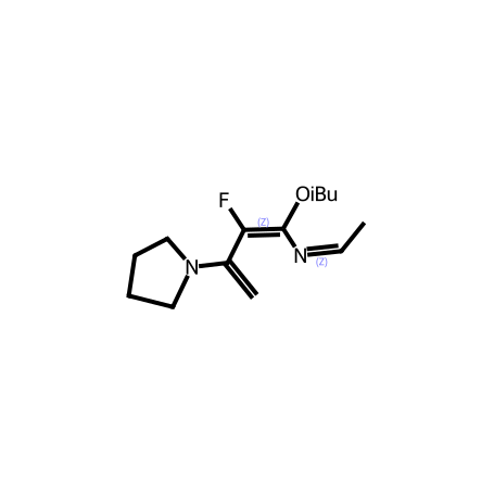 C=C(/C(F)=C(\N=C/C)OCC(C)C)N1CCCC1